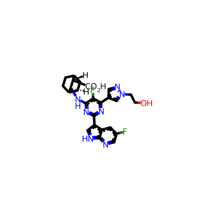 O=C(O)[C@H]1C2CCC(CC2)[C@@H]1Nc1nc(-c2c[nH]c3ncc(F)cc23)nc(-c2cnn(CCO)c2)c1F